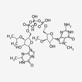 CO[C@@H]1C(O)[C@H](n2c[n+](C)c3c(=O)[nH]c(N)nc32)O[C@@H]1COP(=O)(O)OP(=O)(O)OP(=O)(O)OC[C@H]1O[C@@H](n2cnc3c(=O)[nH]c(C)nc32)C(O)[C@H]1OC(C)C